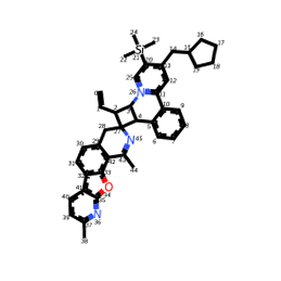 C=CC1C2C(c3ccccc3-c3cc(CC4CCCC4)c([Si](C)(C)C)c[n+]32)C12Cc1ccc3c(oc4nc(C)ccc43)c1C(C)=N2